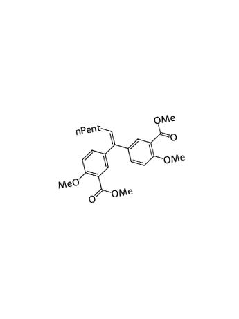 CCCCCC=C(c1ccc(OC)c(C(=O)OC)c1)c1ccc(OC)c(C(=O)OC)c1